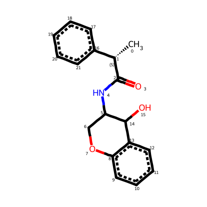 C[C@H](C(=O)NC1COc2ccccc2C1O)c1ccccc1